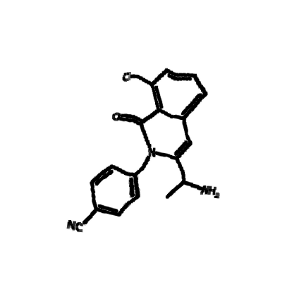 CC(N)c1cc2cccc(Cl)c2c(=O)n1-c1ccc(C#N)cc1